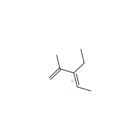 C=C(C)/C(=C/C)CC